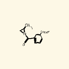 COc1cccc(C(=O)N2CC2C)c1